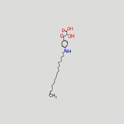 CCCCCCCCCCCCCCCCNc1ccc(C(=O)C(O)C(=O)O)cc1